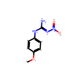 COc1ccc(NC(N)=N[N+](=O)[O-])cc1